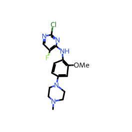 COc1cc(N2CCN(C)CC2)ccc1Nc1nc(Cl)ncc1F